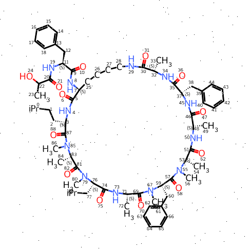 CC(C)CC[C@@H]1NC(=O)[C@@H](NC(=O)[C@H](Cc2ccccc2)NC(=O)C(C)O)CCCCNC(=O)[C@H](C)NC(=O)[C@H](Cc2ccccc2)NC(=O)[C@H](C)NC(=O)[C@H](C)N(C)C(=O)[C@H](Cc2ccccc2)N(C)C(=O)[C@H](C)NC(=O)[C@H](CC(C)C)N(C)C(=O)[C@H](C)N(C)C1=O